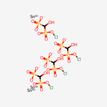 O=P([O-])([O-])C(O)P(=O)([O-])OCl.O=P([O-])([O-])C(O)P(=O)([O-])OCl.O=P([O-])([O-])C(O)P(=O)([O-])OCl.O=P([O-])([O-])C(O)P(=O)([O-])OCl.[Sn+4].[Sn+4].[Sn+4]